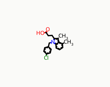 Cc1cccc2c1c(C)c(CCC(=O)O)n2Cc1ccc(Cl)cc1